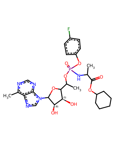 Cc1ncnc2c1ncn2C1OC(C(C)OP(=O)(NC(C)C(=O)OC2CCCCC2)Oc2ccc(F)cc2)[C@@H](O)[C@H]1O